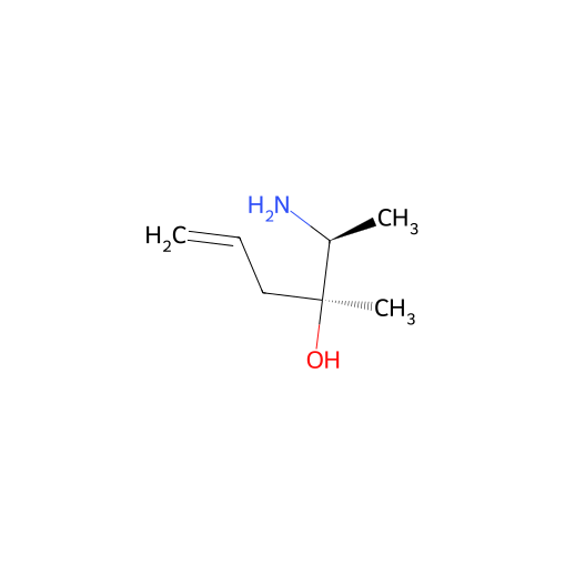 C=CC[C@](C)(O)[C@H](C)N